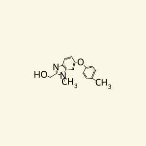 Cc1ccc(Oc2ccc3nc(CO)n(C)c3c2)cc1